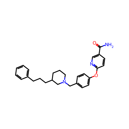 NC(=O)c1ccc(Oc2ccc(CN3CCCC(CCCc4ccccc4)C3)cc2)nc1